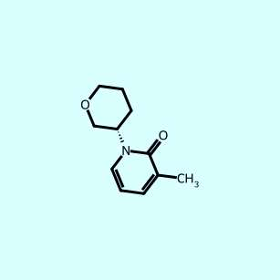 Cc1cccn([C@H]2CCCOC2)c1=O